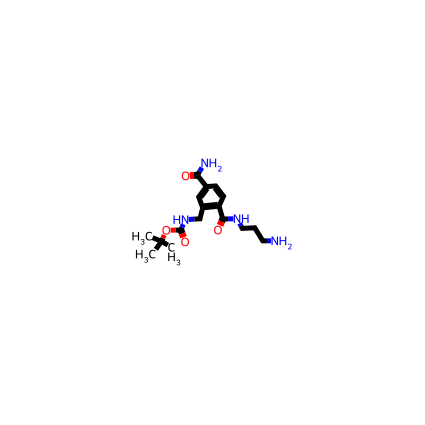 CC(C)(C)OC(=O)NCc1cc(C(N)=O)ccc1C(=O)NCCCN